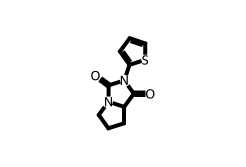 O=C1C2CCCN2C(=O)N1c1cccs1